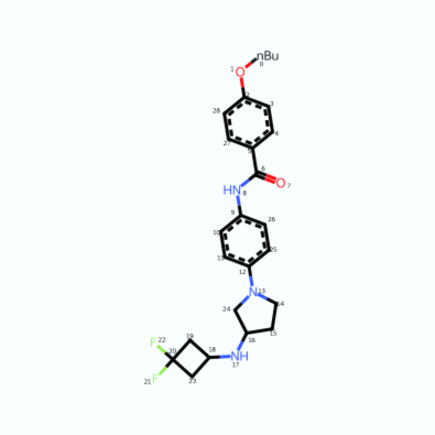 CCCCOc1ccc(C(=O)Nc2ccc(N3CCC(NC4CC(F)(F)C4)C3)cc2)cc1